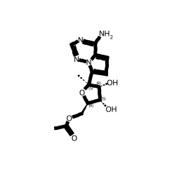 CC(=O)OC[C@H]1O[C@@](C)(c2ccc3c(N)ncnn23)[C@H](O)[C@@H]1O